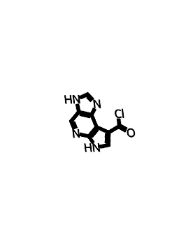 O=C(Cl)c1c[nH]c2ncc3[nH]cnc3c12